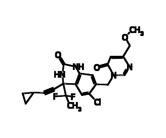 COCc1cc(=O)n(Cc2cc3c(cc2Cl)C(C#CC2CC2)(C(C)(F)F)NC(=O)N3)cn1